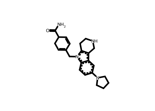 NC(=O)C1C=CC(Cn2c3c(c4cc(N5CCCC5)ccc42)CNCC3)=CC1